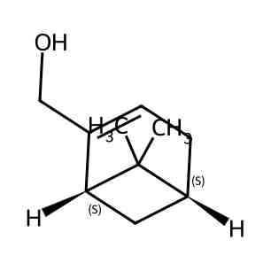 CC1(C)[C@@H]2CC=C(CO)[C@H]1C2